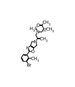 C=C(CN(C)C[C@H](C)C(C)=O)N1Cc2nc(-c3cccc(Br)c3C)oc2C1